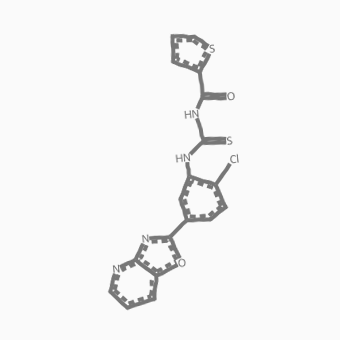 O=C(NC(=S)Nc1cc(-c2nc3ncccc3o2)ccc1Cl)c1cccs1